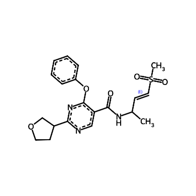 CC(/C=C/S(C)(=O)=O)NC(=O)c1cnc(C2CCOC2)nc1Oc1ccccc1